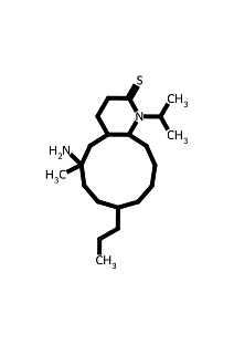 CCCC1CCCCC2C(CCC(=S)N2C(C)C)CC(C)(N)CC1